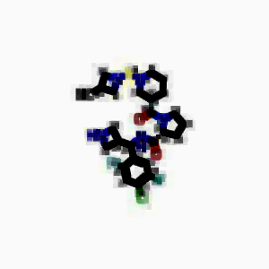 N#CC1CN(SN2CCC[C@H](C(=O)N3CCC[C@@H]3C(=O)NC(c3cc(F)c(Cl)cc3F)C3CNC3)C2)C1